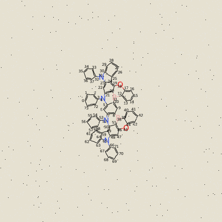 c1ccc(N2c3cc4c(cc3B3c5ccccc5Oc5c3c2cc2c5c3ccccc3n2-c2ccccc2)B2c3ccccc3Oc3cc5c(c(c32)N4c2ccccc2)c2ccccc2n5-c2ccccc2)cc1